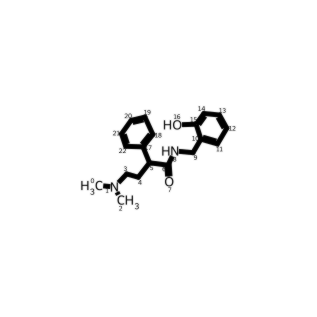 CN(C)CCC(C(=O)NCc1ccccc1O)c1ccccc1